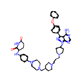 Nc1ncnc2c1c(-c1ccc(Oc3ccccc3)cc1)nn2C1CCN(CCCN2CCC(CN3CCN(c4ccc(NC5CCC(=O)NC5=O)cc4)CC3)CC2)CC1